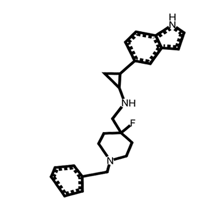 FC1(CNC2CC2c2ccc3[nH]ccc3c2)CCN(Cc2ccccc2)CC1